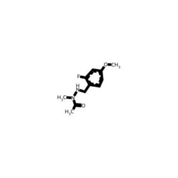 COc1ccc(CNN(C)C(C)=O)c(F)c1